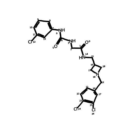 O=C(CNC(=O)Nc1cccc(Cl)c1)NCC1CN(Cc2ccc(Cl)c(Cl)c2)C1